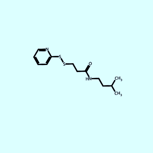 CC(C)CCNC(=O)CCSSc1ccccn1